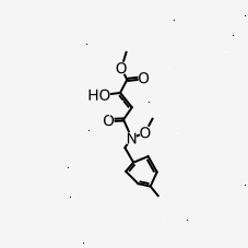 COC(=O)/C(O)=C/C(=O)N(Cc1ccc(C)cc1)OC